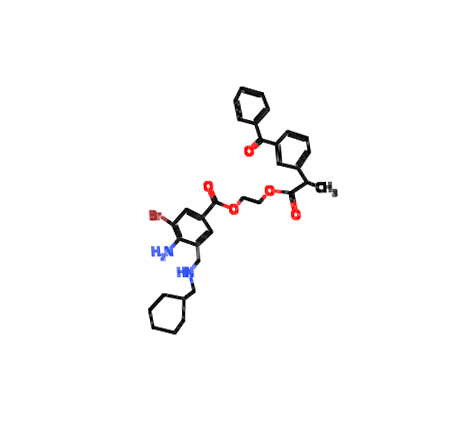 CC(C(=O)OCCOC(=O)c1cc(Br)c(N)c(CNCC2CCCCC2)c1)c1cccc(C(=O)c2ccccc2)c1